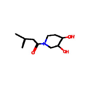 CC(C)CC(=O)N1CCC(O)C(O)C1